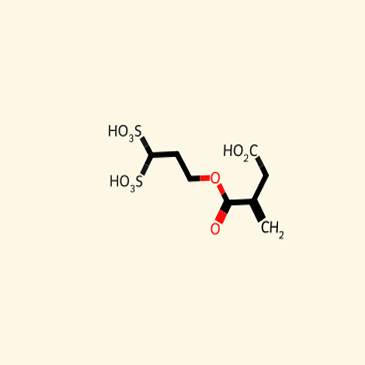 C=C(CC(=O)O)C(=O)OCCC(S(=O)(=O)O)S(=O)(=O)O